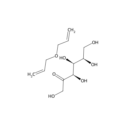 C=CCOCC=C.O=C(CO)[C@H](O)[C@@H](O)[C@H](O)CO